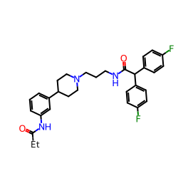 CCC(=O)Nc1cccc(C2CCN(CCCNC(=O)C(c3ccc(F)cc3)c3ccc(F)cc3)CC2)c1